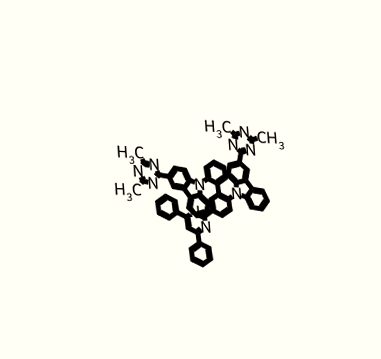 Cc1nc(C)nc(-c2ccc3c(c2)c2ccccc2n3-c2ccccc2-c2cc(-c3nc(-c4ccccc4)cc(-c4ccccc4)n3)ccc2-n2c3ccccc3c3cc(-c4nc(C)nc(C)n4)ccc32)n1